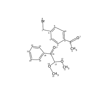 CC(=O)c1ccc(CBr)cc1.COC(OC)C(=O)c1ccccc1